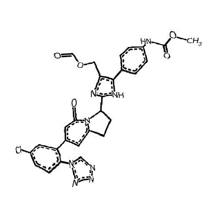 COC(=O)Nc1ccc(-c2[nH]c(C3CCc4cc(-c5cc(Cl)ccc5-n5cnnn5)cc(=O)n43)nc2COC=O)cc1